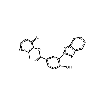 Cc1occc(=O)c1OC(=O)c1ccc(O)c(-n2nc3ccccc3n2)c1